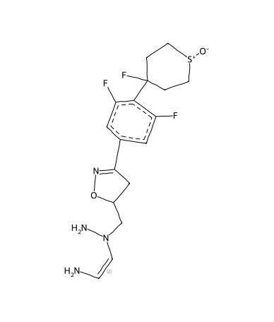 N/C=C\N(N)CC1CC(c2cc(F)c(C3(F)CC[S+]([O-])CC3)c(F)c2)=NO1